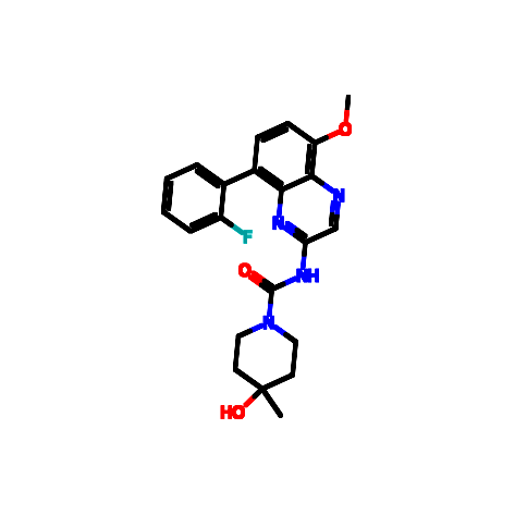 COc1ccc(-c2ccccc2F)c2nc(NC(=O)N3CCC(C)(O)CC3)cnc12